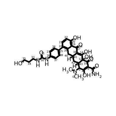 CN(C)C1C(O)=C(C(N)=O)C(=O)[C@@]2(O)C(O)=C3C(=O)c4c(O)ccc(-c5ccc(NC(=O)NCCCO)cc5)c4C[C@H]3C[C@@H]12